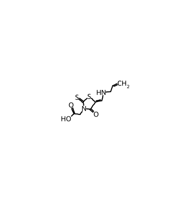 C=CCNC=C1SC(=S)N(CC(=O)O)C1=O